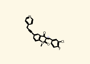 CN1C(=O)/C(=C\c2ccc(F)c(Cl)c2)C(=O)c2cc(C#CCc3ccncc3)ccc21